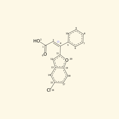 O=C(O)/C=C(/c1ccccc1)c1cc2cc(Cl)ccc2o1